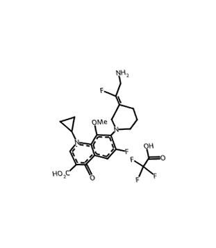 COc1c(N2CCCC(=C(F)CN)C2)c(F)cc2c(=O)c(C(=O)O)cn(C3CC3)c12.O=C(O)C(F)(F)F